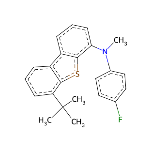 CN(c1ccc(F)cc1)c1cccc2c1sc1c(C(C)(C)C)cccc12